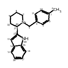 Cc1ccc(CN2CCCC[C@@H]2c2cc3ccccc3[nH]2)cc1